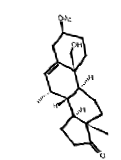 CC(=O)O[C@H]1CC[C@@]2(CO)C(=C[C@@H](C)[C@@H]3[C@@H]2CC[C@]2(C)C(=O)CC[C@@H]32)C1